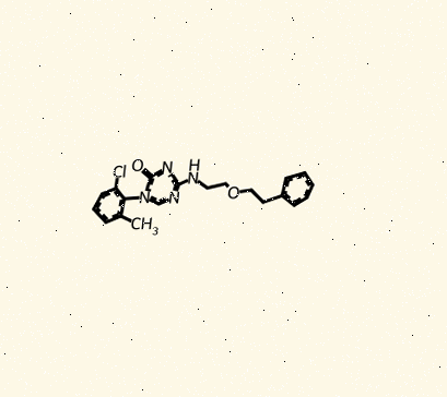 Cc1cccc(Cl)c1-n1cnc(NCCOCCc2ccccc2)nc1=O